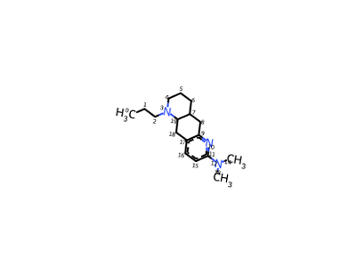 CCCN1CCCC2Cc3nc(N(C)C)ccc3CC21